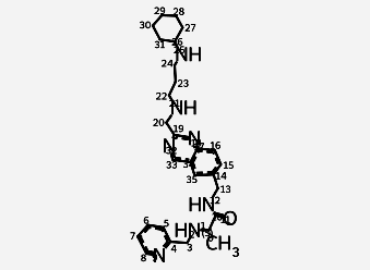 C[C@H](NCc1ccccn1)C(=O)NCc1ccc2nc(CNCCCNC3CCCCC3)ncc2c1